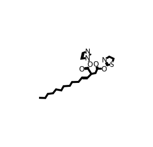 CCCCCCCCCCC=CC(CC(=O)OC1=NCCS1)C(=O)On1ccnc1